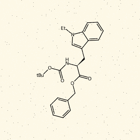 CCn1cc(C[C@H](NC(=O)OC(C)(C)C)C(=O)OCc2ccccc2)c2ccccc21